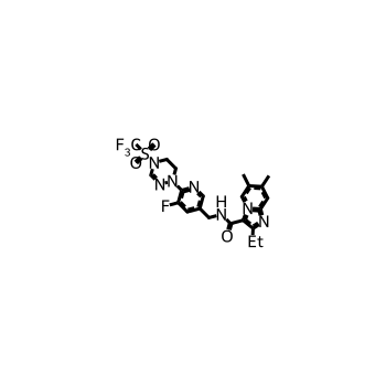 CCc1nc2cc(C)c(C)cn2c1C(=O)NCc1cnc(N2CCN(S(=O)(=O)C(F)(F)F)C=N2)c(F)c1